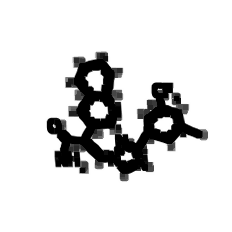 Cc1cc(-c2ncn(/C=C(/C(N)=O)c3cnc4ccccc4c3)n2)cc(C(F)(F)F)c1